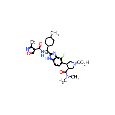 CCc1nocc1C(=O)N[C@H](c1nc2c(F)c(C3CN(C(=O)O)CC3C(=O)N(C)C)ccc2[nH]1)C1CCC(C)CC1